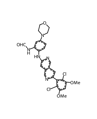 COc1cc(OC)c(Cl)c(-c2cc3cnc(Nc4ccc(N5CCOCC5)cc4NC=O)cc3cn2)c1Cl